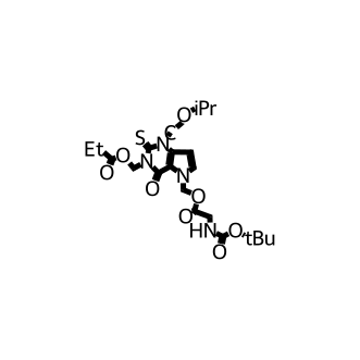 CCC(=O)OCn1c(=O)c2c(ccn2COC(=O)CNC(=O)OC(C)(C)C)n(CCOC(C)C)c1=S